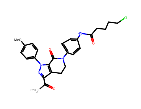 CCOC(=O)C(=O)c1nn(-c2ccc(OC)cc2)c2c1CCN(c1ccc(NC(=O)CCCCCl)cc1)C2=O